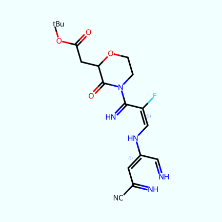 CC(C)(C)OC(=O)CC1OCCN(C(=N)/C(F)=C\N/C(C=N)=C/C(=N)C#N)C1=O